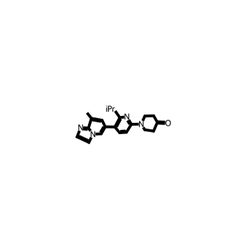 Cc1cc(-c2ccc(N3CCC(=O)CC3)nc2C(C)C)cn2ccnc12